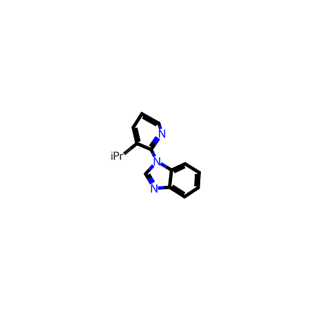 CC(C)c1cccnc1-n1cnc2ccccc21